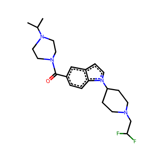 CC(C)N1CCN(C(=O)c2ccc3c(ccn3C3CCN(CC(F)F)CC3)c2)CC1